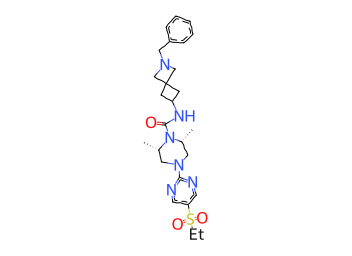 CCS(=O)(=O)c1cnc(N2C[C@@H](C)N(C(=O)NC3CC4(C3)CN(Cc3ccccc3)C4)[C@@H](C)C2)nc1